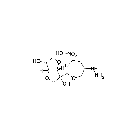 NNC1CCOC([C@@]2(O)CO[C@@H]3[C@H](O)CO[C@@H]32)OC1.O=[N+]([O-])O